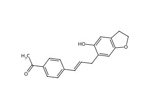 CC(=O)c1ccc(C=CCc2cc3c(cc2O)CCO3)cc1